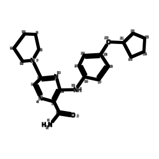 NC(=O)c1ncc(N2CCCCC2)nc1Nc1ccc(OC2CCCC2)cc1